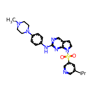 CC(C)c1cncc(S(=O)(=O)n2ccc3cnc(Nc4ccc(N5CCN(C)CC5)cc4)nc32)c1